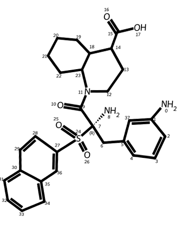 Nc1cccc(C[C@](N)(C(=O)N2CCC(C(=O)O)C3CCCCC32)S(=O)(=O)c2ccc3ccccc3c2)c1